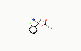 CC(=O)OC(C)(C#N)c1ccccc1F